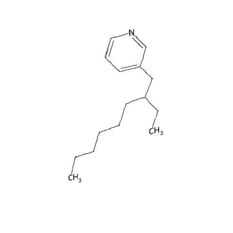 CCCCCCC(CC)Cc1cccnc1